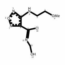 COCCNc1nonc1/C(Cl)=N/CO